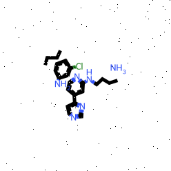 CCCC.CCCCNc1cc(-c2ccncn2)ccn1.N.Nc1cccc(Cl)c1